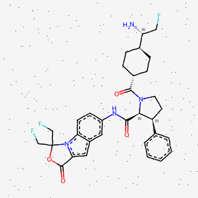 N[C@H](CF)[C@H]1CC[C@H](C(=O)N2CC[C@@H](c3ccccc3)[C@H]2C(=O)Nc2ccc3c(c2)cc2n3C(CF)(CF)OC2=O)CC1